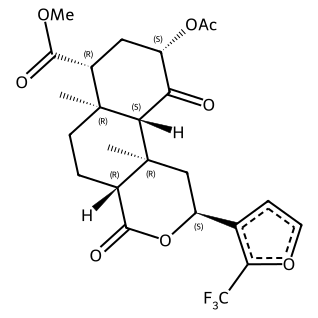 COC(=O)[C@@H]1C[C@H](OC(C)=O)C(=O)[C@H]2[C@@]1(C)CC[C@H]1C(=O)O[C@H](c3ccoc3C(F)(F)F)C[C@]21C